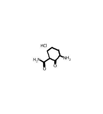 Cl.NC(=O)C1CCCC(N)C1=O